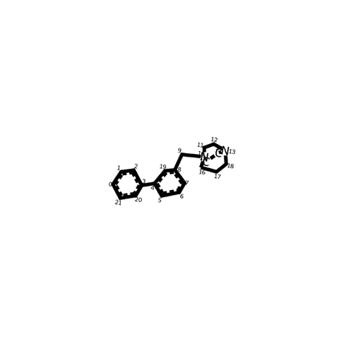 c1ccc(-c2cccc(CN3CCN4CCC3CC4)c2)cc1